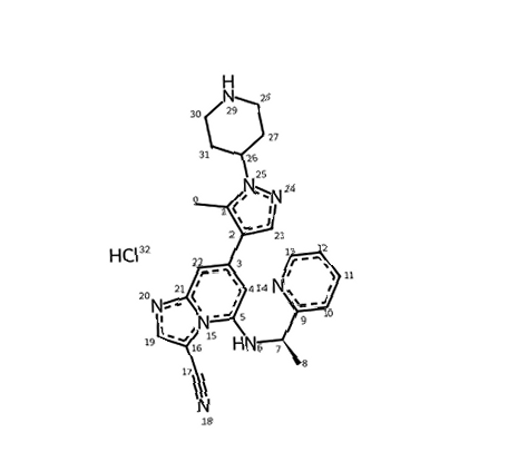 Cc1c(-c2cc(N[C@H](C)c3ccccn3)n3c(C#N)cnc3c2)cnn1C1CCNCC1.Cl